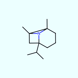 CC(C)C12CCCC3(C)N1C3(C)C2